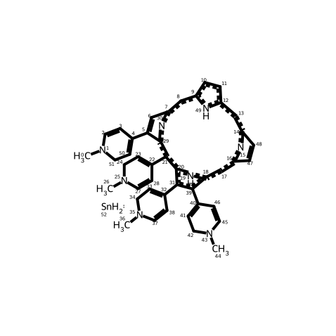 CN1C=CC(C2=Cc3cc4ccc(cc5nc(cc6[nH]c(c(C7=CCN(C)C=C7)c2n3)c(C2=CCN(C)C=C2)c6C2=CCN(C)C=C2)C=C5)[nH]4)=CC1.[SnH2]